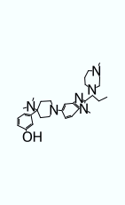 CCC(c1nc2cc(N3CCC(c4cccc(O)c4)(N(C)C)CC3)ccc2n1C)N1CCCN(C)CC1